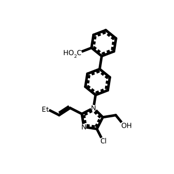 CC/C=C/c1nc(Cl)c(CO)n1-c1ccc(-c2ccccc2C(=O)O)cc1